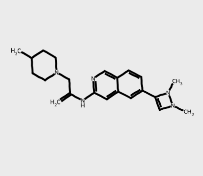 C=C(CN1CCC(C)CC1)Nc1cc2cc(-c3cn(C)n3C)ccc2cn1